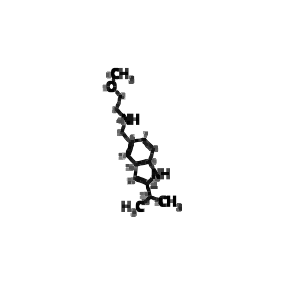 COCCNCc1ccc2[nH]c(C(C)C)cc2c1